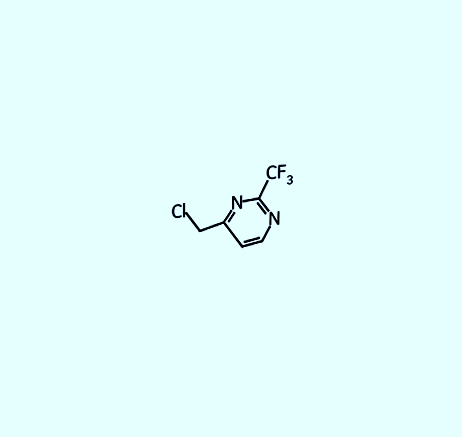 FC(F)(F)c1nccc(CCl)n1